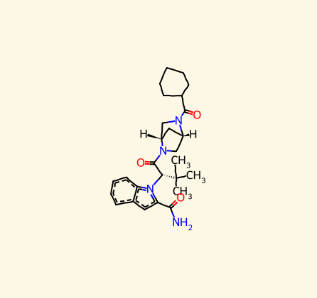 CC(C)(C)[C@@H](C(=O)N1C[C@@H]2C[C@H]1CN2C(=O)C1CCCCC1)n1c(C(N)=O)cc2ccccc21